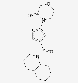 O=C1COCCN1c1cc(C(=O)N2CCCC3CCCCC32)cs1